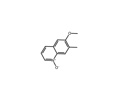 COc1cc2ccc[n+]([O-])c2cc1C